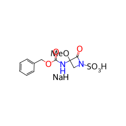 COC1(NC(=O)OCc2ccccc2)CN(S(=O)(=O)O)C1=O.[NaH]